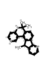 CC1c2cccnc2-c2ccc3c(c21)-c1cnccc1SC3(C)C